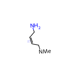 CNC/C=C\CN